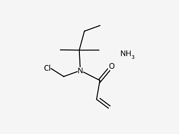 C=CC(=O)N(CCl)C(C)(C)CC.N